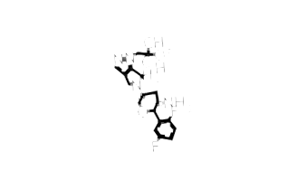 CC(C)(O)Cn1ncc2c1CN([C@H]1COC(c3cc(F)ccc3F)[C@@H](N)C1)C2